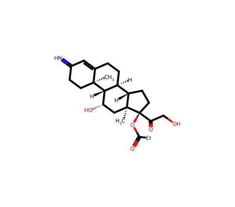 CCC(=O)O[C@]1(C(=O)CO)CC[C@H]2[C@@H]3CCC4=CC(=N)CC[C@]4(C)[C@H]3[C@@H](O)C[C@@]21C